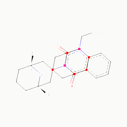 O=C(O)Cn1c(=O)n(C2C[C@H]3CCC[C@@H](C2)N3[C@H]2C[C@@H]3CCC[C@@H](C3)C2)c(=O)c2ccccc21